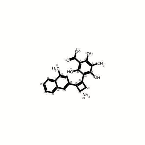 CCCC(=O)c1c(O)c(C)c(O)c(C2=C(c3cc(C)c4ccccc4c3)CC2)c1O.N